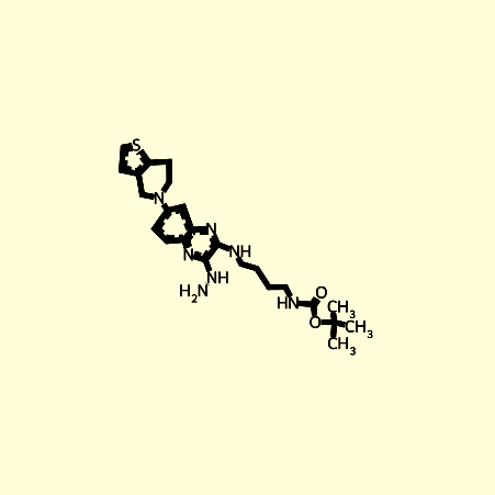 CC(C)(C)OC(=O)NCCCCNc1nc2cc(N3CCc4sccc4C3)ccc2nc1NN